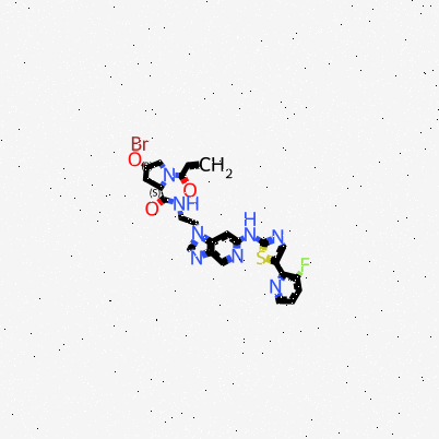 C=CC(=O)N1C[C@H](OBr)C[C@H]1C(=O)NCCn1cnc2cnc(Nc3ncc(-c4ncccc4F)s3)cc21